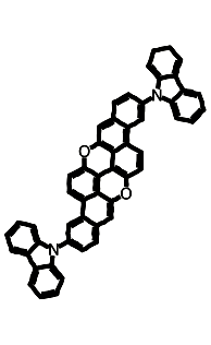 C1=c2c(n(-c3ccc4cc5oc6ccc7c8cc(-n9c%10ccccc%10c%10ccccc%109)ccc8cc8oc9ccc(c4c3)c5c9-c6c87)c3ccccc23)=CCC1